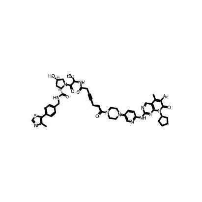 CC(=O)c1c(C)c2cnc(Nc3ccc(N4CCN(C(=O)CCC#CCC(=O)NC(C(=O)N5C[C@H](O)C[C@H]5C(=O)NCc5ccc(-c6scnc6C)cc5)C(C)(C)C)CC4)cn3)nc2n(C2CCCC2)c1=O